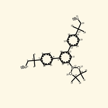 CC(C)(C)CC(C)(C)c1ccc(-c2cc(B3OC(C)(C)C(C)(C)O3)cc(-c3ccc(C(C)(C)CC(C)(C)C)cc3)c2)cc1